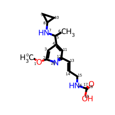 COc1cc(C(C)NC2CC2)cc(C=CCNC(=O)O)n1